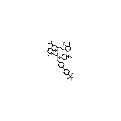 CCN1CCC(N(Cc2ccc(-c3ccc(C(F)(F)F)cc3)cc2)C(=O)CN2C(CCc3cccc(F)c3F)=CC(=C(C)C)c3ccc(C)nc32)CC1